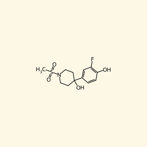 CS(=O)(=O)N1CCC(O)(c2ccc(O)c(F)c2)CC1